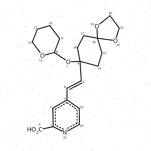 O=C(O)c1cc(/C=C/C2(OC3CCCCO3)CCC3(CC2)OCCO3)ccn1